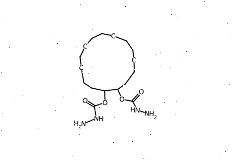 NNC(=O)OC1CCCCCCCCCCCCCC1OC(=O)NN